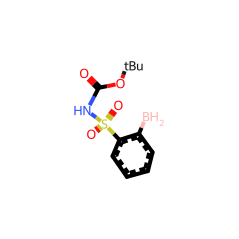 Bc1ccccc1S(=O)(=O)NC(=O)OC(C)(C)C